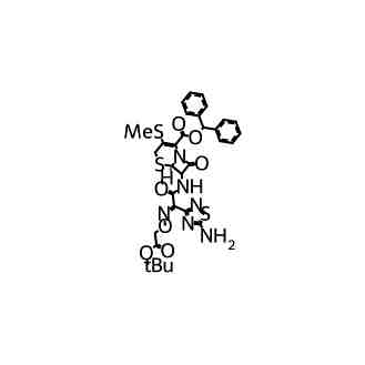 CSC1=C(C(=O)OC(c2ccccc2)c2ccccc2)N2C(=O)C(NC(=O)/C(=N/OCC(=O)OC(C)(C)C)c3nsc(N)n3)[C@H]2SC1